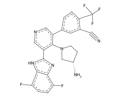 N#Cc1cc(-c2cncc(-c3nc4c(F)ccc(F)c4[nH]3)c2N2CC[C@H](N)C2)ccc1C(F)(F)F